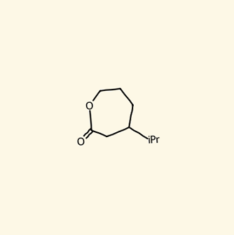 CC(C)C1CCCOC(=O)C1